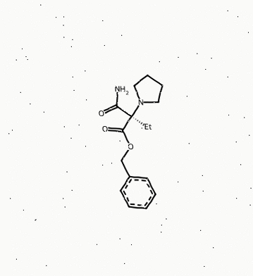 CC[C@@](C(N)=O)(C(=O)OCc1ccccc1)N1CCCC1